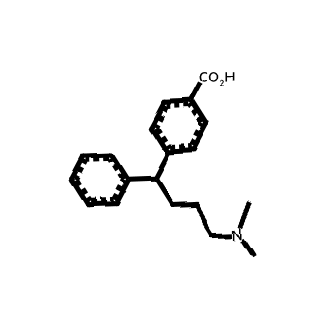 CN(C)CCCC(c1ccccc1)c1ccc(C(=O)O)cc1